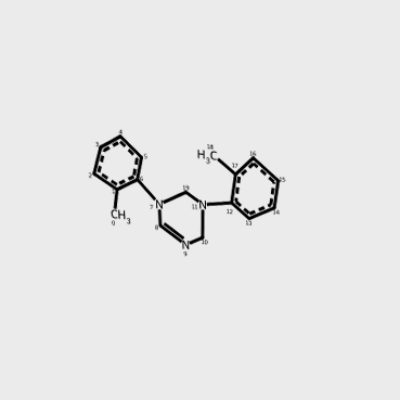 Cc1ccccc1N1C=NCN(c2ccccc2C)C1